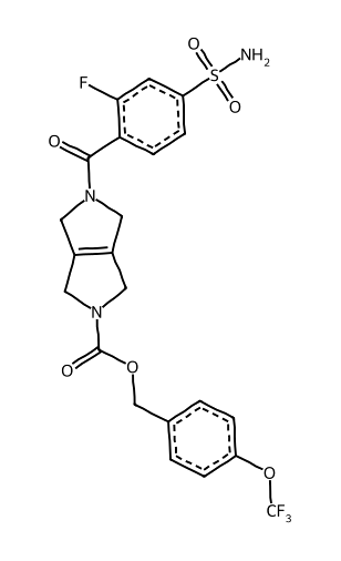 NS(=O)(=O)c1ccc(C(=O)N2CC3=C(CN(C(=O)OCc4ccc(OC(F)(F)F)cc4)C3)C2)c(F)c1